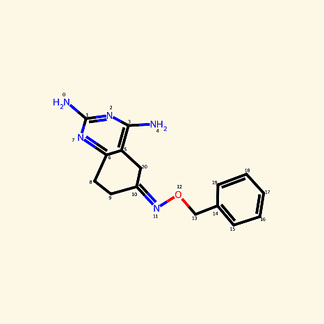 Nc1nc(N)c2c(n1)CC/C(=N/OCc1ccccc1)C2